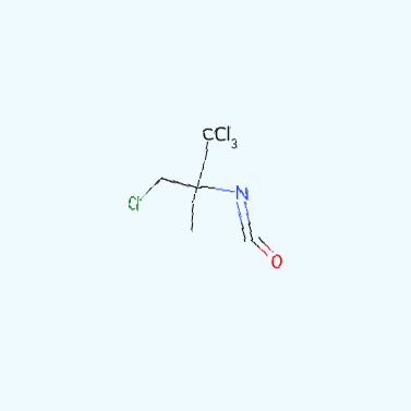 CC(CCl)(N=C=O)C(Cl)(Cl)Cl